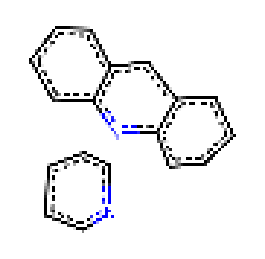 c1ccc2nc3ccccc3cc2c1.c1ccncc1